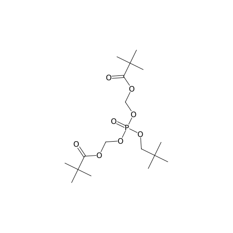 CC(C)(C)COP(=O)(OCOC(=O)C(C)(C)C)OCOC(=O)C(C)(C)C